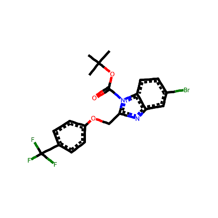 CC(C)(C)OC(=O)n1c(COc2ccc(C(F)(F)F)cc2)nc2cc(Br)ccc21